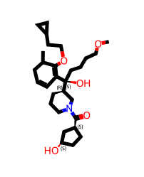 COCCCC[C@@](O)(C1=C(OCCC2CC2)C(C)CC=C1)[C@@H]1CCCN(C(=O)[C@H]2CC[C@H](O)C2)C1